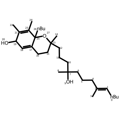 CCCC/C=C(\C)CCCC(C)(O)CCCC1(C)CCC2=CC(O)C(C)=C(C)C2(CCCC)O1